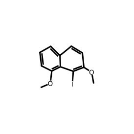 COc1ccc2cccc(OC)c2c1I